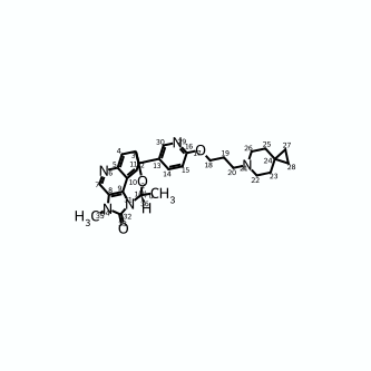 C[C@H]1OC2C=c3ncc4c(c3=CC2c2ccc(OCCCN3CCC5(CC3)CC5)nc2)n1c(=O)n4C